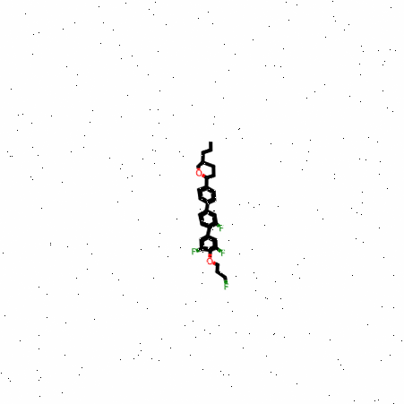 CCCC1CCC(c2ccc(-c3ccc(-c4cc(F)c(OCCCF)c(F)c4)c(F)c3)cc2)OC1